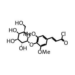 COc1cc(C=CC(=O)Cl)cc(OC)c1O[C@@H]1O[C@H](CO)[C@H](O)[C@H](O)[C@H]1O